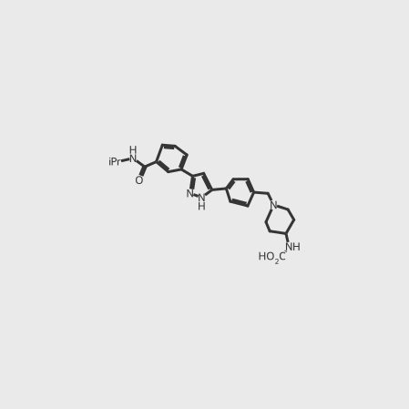 CC(C)NC(=O)c1cccc(-c2cc(-c3ccc(CN4CCC(NC(=O)O)CC4)cc3)[nH]n2)c1